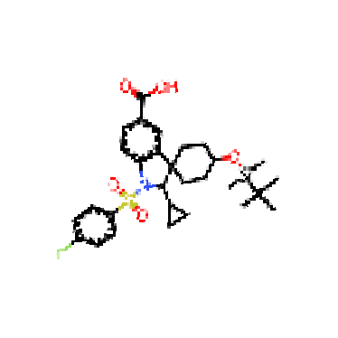 CC(C)(C)[Si](C)(C)OC1CCC2(CC1)c1cc(C(=O)O)ccc1N(S(=O)(=O)c1ccc(F)cc1)C2C1CC1